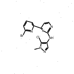 Cn1ncc(Nc2nccc(-c3cccc(Br)n3)n2)c1Cl